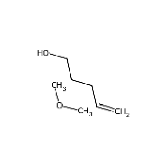 C=CCCCO.COC